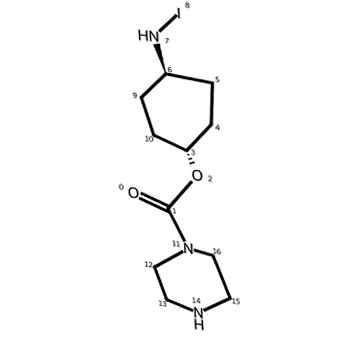 O=C(O[C@H]1CC[C@H](NI)CC1)N1CCNCC1